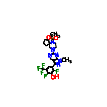 Cn1nc(-c2cc(C(F)(F)F)c(F)c(O)c2F)c2cnc(N3CCN(S(C)(=O)=O)C4(CCCC4)C3)nc21